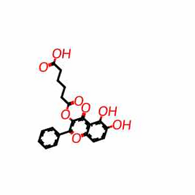 O=C(O)CCCCC(=O)Oc1c(-c2ccccc2)oc2ccc(O)c(O)c2c1=O